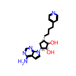 Nc1ncnc2c1ccn2[C@@H]1C[C@H](CCCCc2ccncc2)[C@@H](O)[C@H]1O